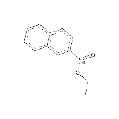 CCO[S@@](=O)c1ccc2ccccc2c1